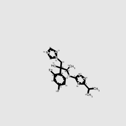 CC(C)c1nsc(S[C@H](C)C(O)(Cn2cncn2)c2ccc(F)cc2F)n1